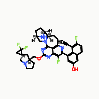 C#Cc1c(F)ccc2cc(O)cc(-c3nc4c5c(nc(OC[C@@]67CCCN6C[C@@]6(CC6(F)F)C7)nc5c3F)N3C[C@H]5CC[C@H](N5)[C@H]3CC4)c12